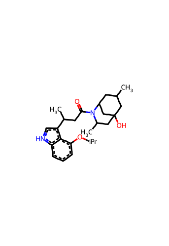 CC1CC2CC(O)(C1)CC(C)N2C(=O)CC(C)c1c[nH]c2cccc(OC(C)C)c12